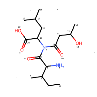 CCC(C)C(N)C(=O)N(C(=O)CC(C)O)C(CC(C)C)C(=O)O